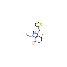 CC1(C)CCC(=O)c2c1c(Cc1cccs1)nn2CC(F)(F)F